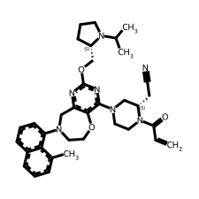 C=CC(=O)N1CCN(c2nc(OC[C@@H]3CCCN3C(C)C)nc3c2OCCN(c2cccc4cccc(C)c24)C3)C[C@@H]1CC#N